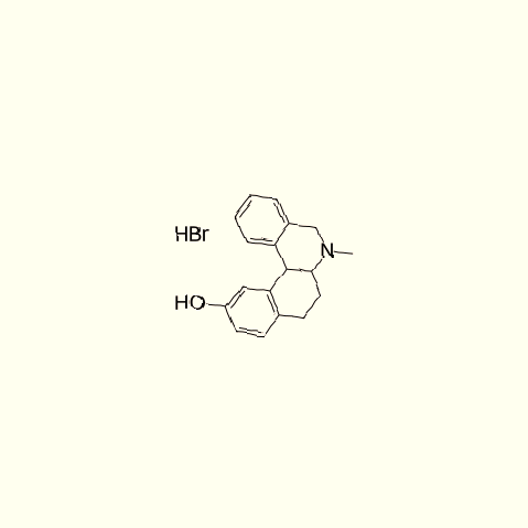 Br.CN1Cc2ccccc2C2c3cc(O)ccc3CCC21